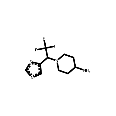 NC1CCN(C(c2cncs2)C(F)(F)F)CC1